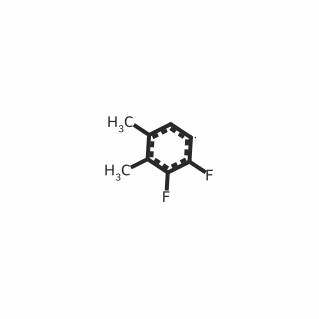 Cc1c[c]c(F)c(F)c1C